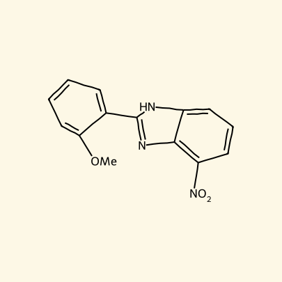 COc1ccccc1-c1nc2c([N+](=O)[O-])cccc2[nH]1